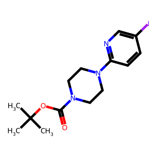 CC(C)(C)OC(=O)N1CCN(c2ccc(I)cn2)CC1